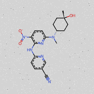 CN(c1ccc([N+](=O)[O-])c(Nc2ccc(C#N)cn2)n1)[C@H]1CC[C@@](C)(O)CC1